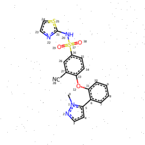 Cn1nccc1-c1ccccc1Oc1ccc(S(=O)(=O)Nc2nccs2)cc1C#N